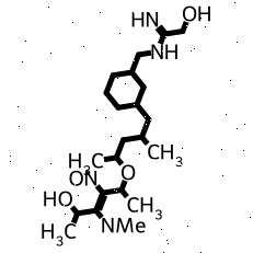 CN/C(=C(/N=O)C(C)OC(C)CC(C)CC1CCCC(CNC(=N)CO)C1)C(C)O